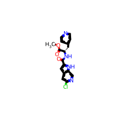 COC(=O)[C@H](Cc1ccncc1)NC(=O)c1cc2cc(Cl)ncc2[nH]1